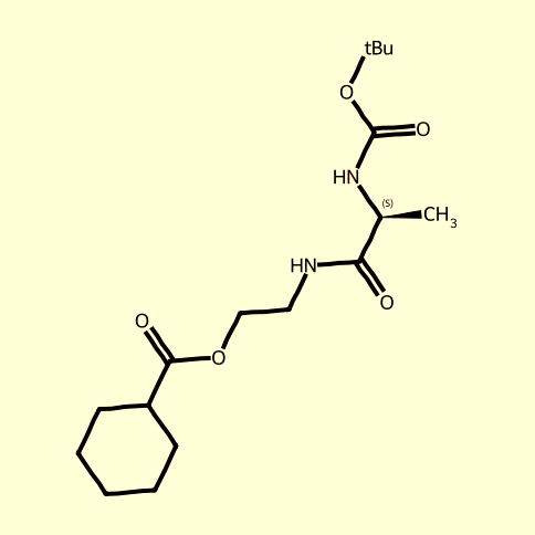 C[C@H](NC(=O)OC(C)(C)C)C(=O)NCCOC(=O)C1CCCCC1